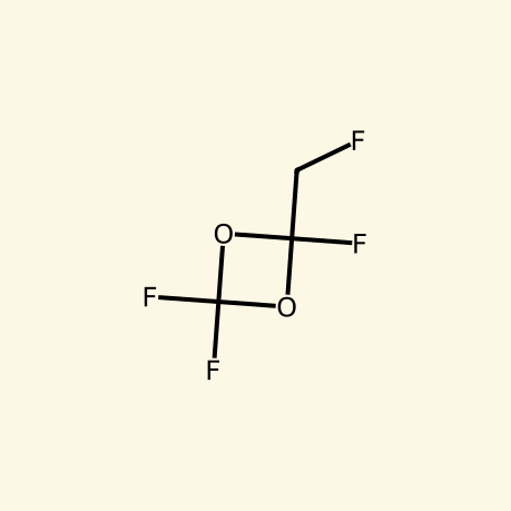 FCC1(F)OC(F)(F)O1